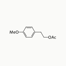 COc1ccc(CCOC(C)=O)cc1